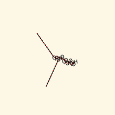 C#CC#CC#CC#CC#CC#CC#CC#CC#CC#CC#COc1ccc(CNC(=O)CCC(=O)OC2CC(n3cc(C)c(=O)[nH]c3=O)OC2CC)c(OC#CC#CC#CC#CC#CC#CC#CC#CC#CC#CC#C)c1